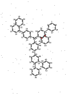 c1ccc(-c2ccc(N(c3ccc(-c4cccc5ccccc45)cc3)c3ccc(-c4ccc(-c5ccccc5)c(-c5ccccc5)c4)cc3-c3ccccc3)cc2)cc1